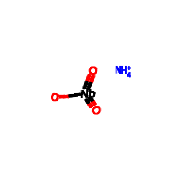 [NH4+].[O]=[Nb](=[O])[O-]